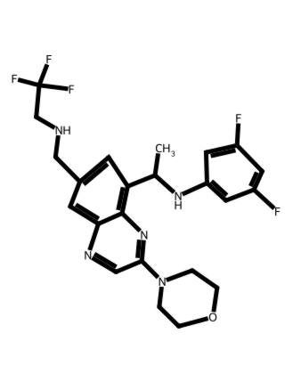 CC(Nc1cc(F)cc(F)c1)c1cc(CNCC(F)(F)F)cc2ncc(N3CCOCC3)nc12